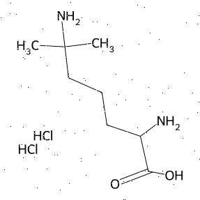 CC(C)(N)CCCC(N)C(=O)O.Cl.Cl